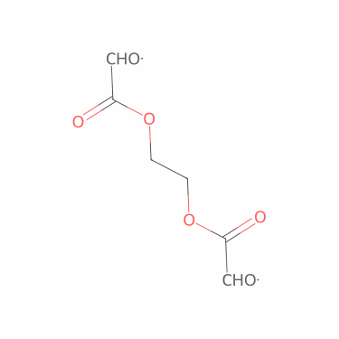 O=[C]C(=O)OCCOC(=O)[C]=O